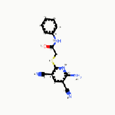 N#Cc1cc(C#N)c(SCC(=O)Nc2ccccc2)nc1N